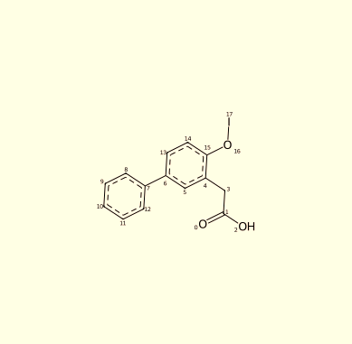 O=C(O)Cc1cc(-c2ccccc2)ccc1OI